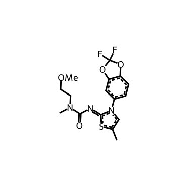 COCCN(C)C(=O)/N=c1\sc(C)cn1-c1ccc2c(c1)OC(F)(F)O2